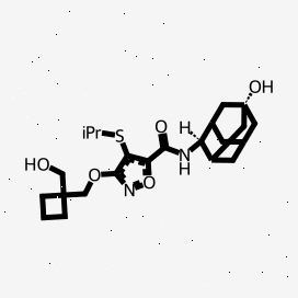 CC(C)Sc1c(OCC2(CO)CCC2)noc1C(=O)N[C@H]1C2CC3CC1C[C@](O)(C3)C2